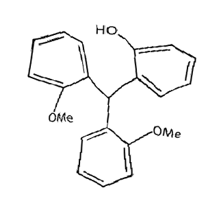 COc1ccccc1C(c1ccccc1O)c1ccccc1OC